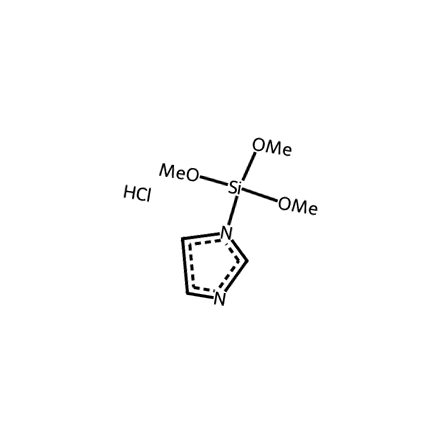 CO[Si](OC)(OC)n1ccnc1.Cl